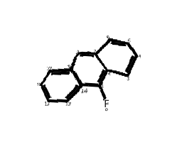 Fc1c2ccccc2[c]c2ccccc12